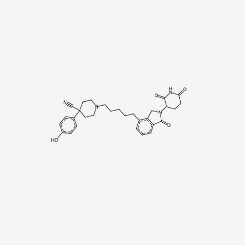 N#CC1(c2ccc(O)cc2)CCN(CCCCCc2cccc3c2CN(C2CCC(=O)NC2=O)C3=O)CC1